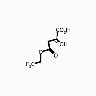 O=C(C[C@H](O)C(=O)O)OCC(F)(F)F